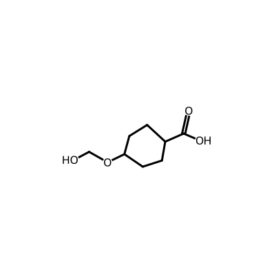 O=C(O)C1CCC(OCO)CC1